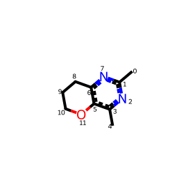 Cc1nc(C)c2c(n1)CCCO2